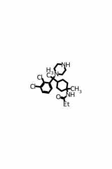 CCC(=O)NC1(C)CCC(C(C)(c2cccc(Cl)c2Cl)N2CCNCC2)CC1